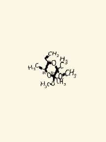 C=C[C@H]1O[C@@](C)(OC)[C@](C)(OC)O[C@@H]1CC